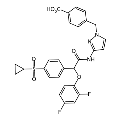 O=C(O)c1ccc(Cn2ccc(NC(=O)C(Oc3ccc(F)cc3F)c3ccc(S(=O)(=O)C4CC4)cc3)n2)cc1